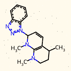 CC1CCN(C)C2=C1C=CC(n1nnc3ccccc31)N2C